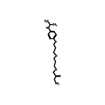 CCC(=O)COCCCOCCCOc1ccc(NC(C)C)cc1